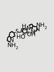 Nc1ccc2ccc(SC[C@@]34C[C@@H]3[C@@H](n3ccc5c(N)ncnc53)[C@H](O)[C@@H]4O)cc2n1